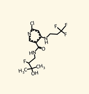 CC(C)(O)C(F)CNC(=O)c1cnc(Cl)cc1NCCC(F)(F)F